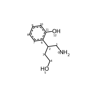 NCC(CCO)c1ccccc1O